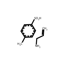 C=CCN.Cc1ccc(S(=O)(=O)O)cc1